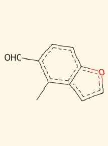 Cc1c(C=O)ccc2occc12